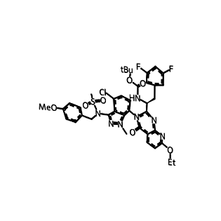 CCOc1ccc2c(=O)n(-c3ccc(Cl)c4c(N(Cc5ccc(OC)cc5)S(C)(=O)=O)nn(C)c34)c([C@H](Cc3cc(F)cc(F)c3)NC(=O)OC(C)(C)C)nc2n1